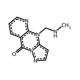 CNCn1c2ncccc2c(=O)n2nccc12